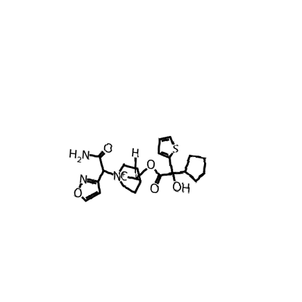 NC(=O)C(c1ccon1)[N+]12CCC(CC1)[C@@H](OC(=O)C(O)(c1cccs1)C1CCCC1)C2